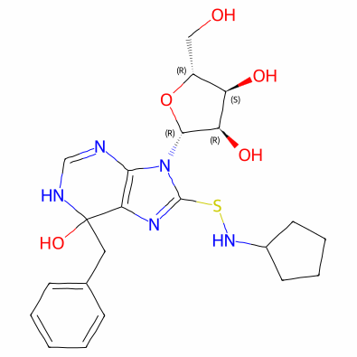 OC[C@H]1O[C@@H](n2c(SNC3CCCC3)nc3c2N=CNC3(O)Cc2ccccc2)[C@H](O)[C@@H]1O